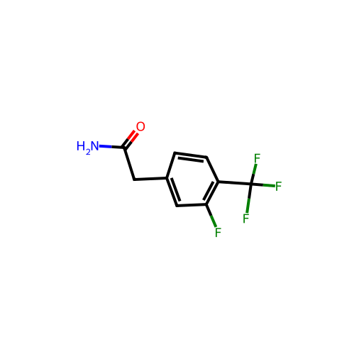 NC(=O)Cc1ccc(C(F)(F)F)c(F)c1